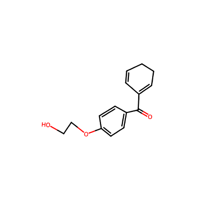 O=C(C1=CCCC=C1)c1ccc(OCCO)cc1